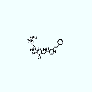 CC(C)(C)[Si](C)(C)OCCNc1nc2[nH]c(-c3ccnc(C=Cc4ccccc4)c3)cc2c(=O)[nH]1